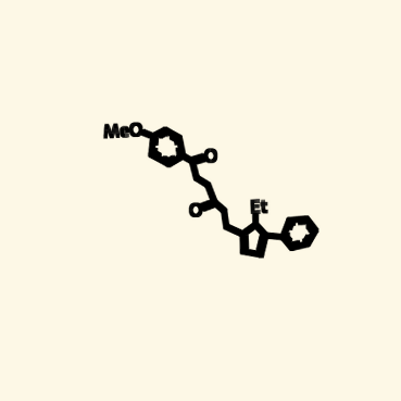 CCC1C(CCC(=O)CCC(=O)c2ccc(OC)cc2)=CC=C1c1ccccc1